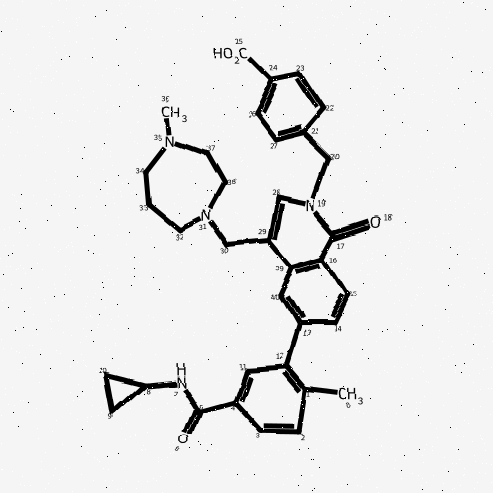 Cc1ccc(C(=O)NC2CC2)cc1-c1ccc2c(=O)n(Cc3ccc(C(=O)O)cc3)cc(CN3CCCN(C)CC3)c2c1